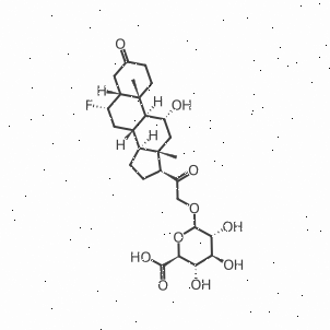 C[C@]12CCC(=O)C[C@H]1[C@@H](F)C[C@@H]1[C@@H]2[C@H](O)C[C@]2(C)[C@@H](C(=O)COC3O[C@H](C(=O)O)[C@@H](O)[C@H](O)[C@H]3O)CC[C@@H]12